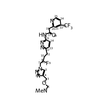 CNCOCc1cn(C[C@H](F)CCc2ccc(NC(=O)Cc3cc(C(F)(F)F)ccn3)nn2)nn1